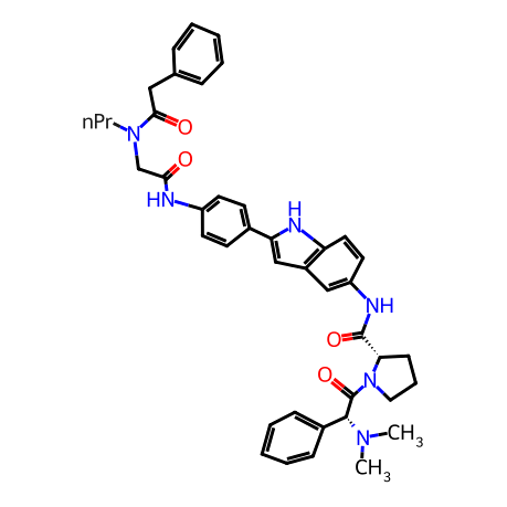 CCCN(CC(=O)Nc1ccc(-c2cc3cc(NC(=O)[C@@H]4CCCN4C(=O)[C@@H](c4ccccc4)N(C)C)ccc3[nH]2)cc1)C(=O)Cc1ccccc1